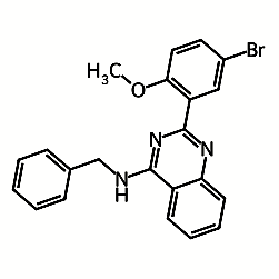 COc1ccc(Br)cc1-c1nc(NCc2ccccc2)c2ccccc2n1